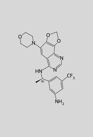 C[C@@H](Nc1ncnc2c3c(c(N4CCOCC4)cc12)OCO3)c1cc(N)cc(C(F)(F)F)c1